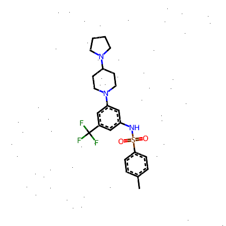 Cc1ccc(S(=O)(=O)Nc2cc(N3CCC(N4CCCC4)CC3)cc(C(F)(F)F)c2)cc1